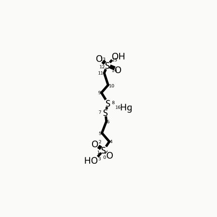 O=S(=O)(O)CCCSSCCCS(=O)(=O)O.[Hg]